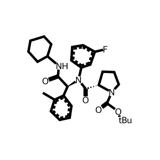 Cc1ccccc1[C@@H](C(=O)NC1CCCCC1)N(C(=O)[C@@H]1CCCN1C(=O)OC(C)(C)C)c1cccc(F)c1